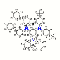 CC(C)(C)c1ccc(N2c3ccc(C(C)(C)C)cc3B3c4ccc(-c5ccccc5)cc4N(c4cccc(-c5ccccc5)c4)c4cc(N5c6ccccc6C6(C)CCCCCC56C)cc2c43)cc1